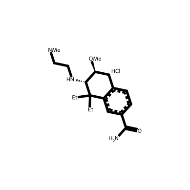 CCC1(CC)c2cc(C(N)=O)ccc2C[C@H](OC)[C@H]1NCCNC.Cl